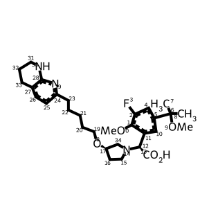 COc1c(F)cc(C(C)(C)OC)cc1[C@@H](C(=O)O)N1CC[C@@H](OCCCCCc2ccc3c(n2)NCCC3)C1